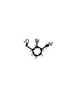 N#Cc1cccc(C=O)c1Br